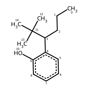 CCCC(c1ccccc1O)C(C)(C)C